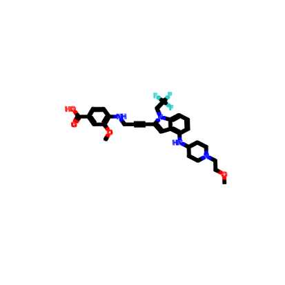 COCCN1CCC(Nc2cccc3c2cc(C#CCNc2ccc(C(=O)O)cc2OC)n3CC(F)(F)F)CC1